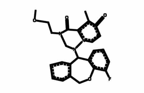 COCCN1CN(C2c3ccccc3COc3c(F)cccc32)n2ccc(=O)c(C)c2C1=O